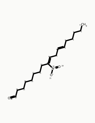 CCCCC/C=C/C/C=C(/CCCCCCC[C]=O)[N+](=O)[O-]